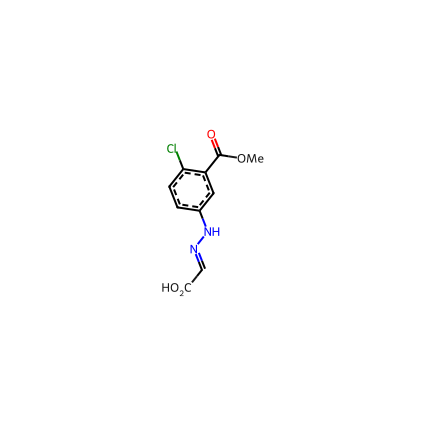 COC(=O)c1cc(NN=CC(=O)O)ccc1Cl